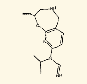 CC(C)N(C=N)c1ccc2c(n1)O[C@@H](C)CNC2